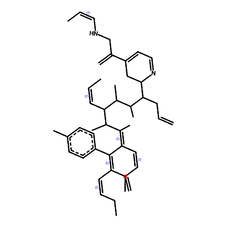 C=C\C=C/C(=C(\C)C(C)C(/C=C\C)C(C)C(C)C(CC=C)C1CC(C(=C)CN/C=C\C)=CC=N1)C(=C(/C=C\CC)CC)/c1ccc(C)cc1